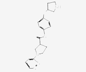 O=C(Nc1ccc(OC2CCNC2)cc1)C1CCN(c2cccnn2)C1